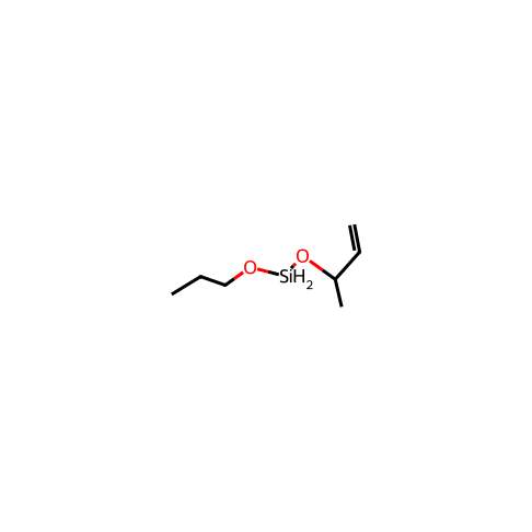 C=CC(C)O[SiH2]OCCC